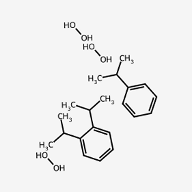 CC(C)c1ccccc1.CC(C)c1ccccc1C(C)C.OO.OO.OO